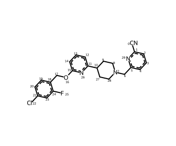 N#Cc1cccc(CN2CCC(c3cccc(OCc4ccc(Cl)cc4F)n3)CC2)n1